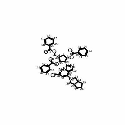 O=C(OC[C@H]1C[C@H](OC(=O)c2ccccc2)[C@H](c2ncc3c(N4CC5CCCC5C4)cc(Cl)nn23)C1OC(=O)c1ccccc1)c1ccccc1